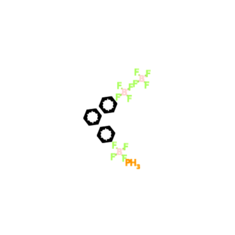 F[B-](F)(F)F.F[B-](F)(F)F.F[B-](F)(F)F.P.c1ccccc1.c1ccccc1.c1ccccc1